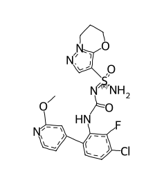 COc1cc(-c2ccc(Cl)c(F)c2NC(=O)N=[S@@](N)(=O)c2cnn3c2OCCC3)ccn1